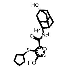 O=C(N[C@H]1C2CC3CC1C[C@](O)(C3)C2)c1onc(O)c1SC1CCCC1